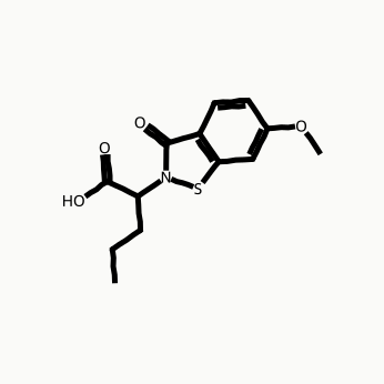 CCCC(C(=O)O)n1sc2cc(OC)ccc2c1=O